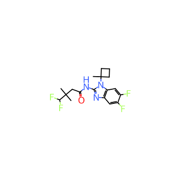 CC(C)(CC(=O)Nc1nc2cc(F)c(F)cc2n1C1(C)CCC1)C(F)F